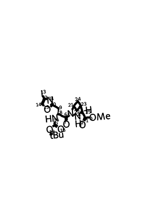 COC(=O)[C@H]1NN(C(=O)[C@H](Cc2nc(I)co2)NC(=O)OC(C)(C)C)C2CC1C2